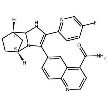 NC(=O)c1ccnc2ccc(C3=C(c4ccc(F)cn4)NC4[C@H]5CC[C@H](C5)N34)cc12